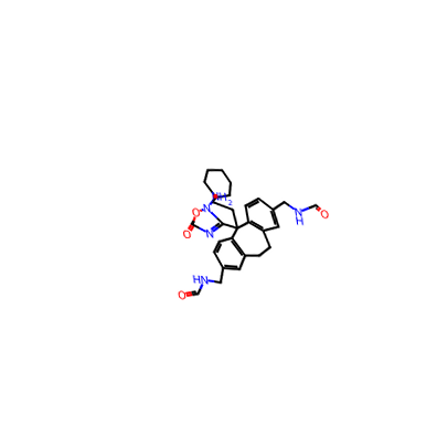 NCCC1(c2nc(=O)on2C2CCCCC2)c2ccc(CNC=O)cc2CCc2cc(CNC=O)ccc21